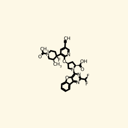 C#Cc1cnc(O[C@H]2C[C@@H](C(=O)O)N(c3nc(C(F)F)nc4c3oc3ccccc34)C2)c([C@@]2(F)CCN(C(C)=O)C[C@@H]2C)c1